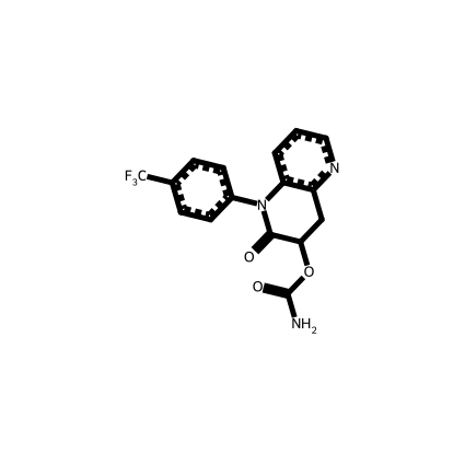 NC(=O)OC1Cc2ncccc2N(c2ccc(C(F)(F)F)cc2)C1=O